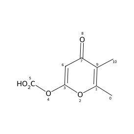 Cc1oc(OC(=O)O)cc(=O)c1C